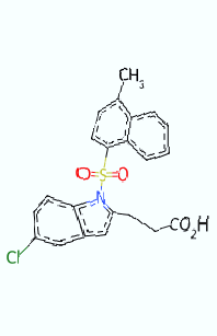 Cc1ccc(S(=O)(=O)n2c(CCC(=O)O)cc3cc(Cl)ccc32)c2ccccc12